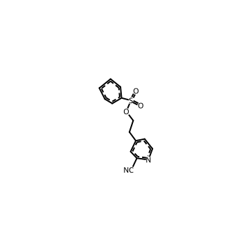 N#Cc1cc(CCOS(=O)(=O)c2ccccc2)ccn1